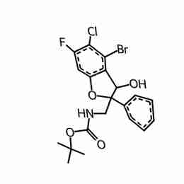 CC(C)(C)OC(=O)NCC1(c2ccccc2)Oc2cc(F)c(Cl)c(Br)c2C1O